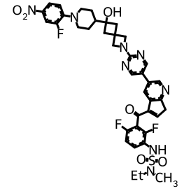 CCN(C)S(=O)(=O)Nc1ccc(F)c(C(=O)C2=CCc3ncc(-c4cnc(N5CC6(C5)CC(O)(C5CCN(c7ccc([N+](=O)[O-])cc7F)CC5)C6)nc4)cc32)c1F